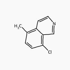 Cc1ccc(Cl)c2cnccc12